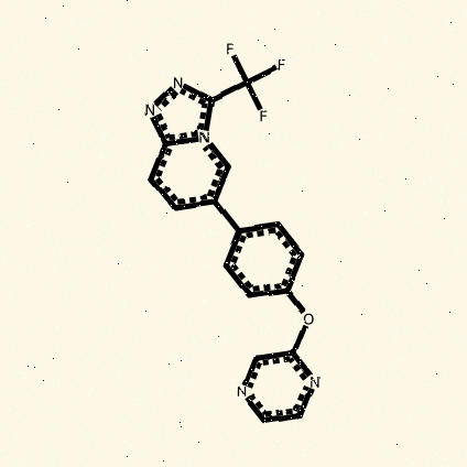 FC(F)(F)c1nnc2ccc(-c3ccc(Oc4cnccn4)cc3)cn12